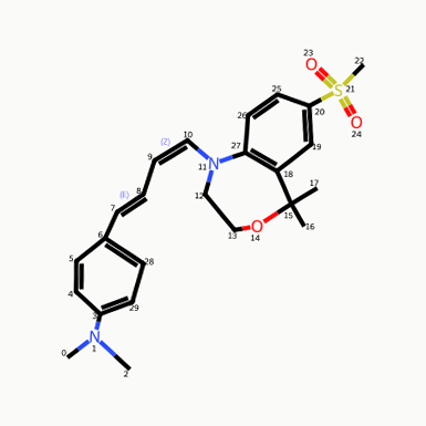 CN(C)c1ccc(/C=C/C=C\N2CCOC(C)(C)c3cc(S(C)(=O)=O)ccc32)cc1